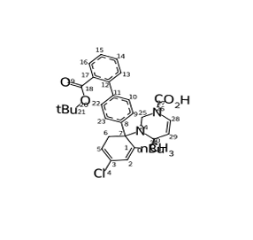 CCCCC1=CC(Cl)=CCC1(c1ccc(-c2ccccc2C(=O)OC(C)(C)C)cc1)N1CN(C(=O)O)C=CC1C